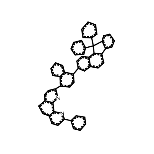 c1ccc(-c2ccc3ccc4ccc(-c5ccc(-c6ccc7c8c(ccc7c6)-c6ccccc6C8(c6ccccc6)c6ccccc6)c6ccccc56)nc4c3n2)cc1